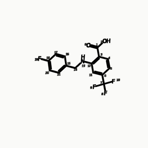 O=C(O)c1ccc(C(F)(F)F)cc1NCc1ccc(F)cc1